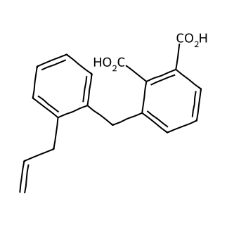 C=CCc1ccccc1Cc1cccc(C(=O)O)c1C(=O)O